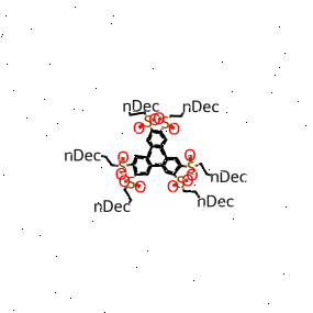 CCCCCCCCCCCCS(=O)(=O)c1cc2c3cc(S(=O)(=O)CCCCCCCCCCCC)c(S(=O)(=O)CCCCCCCCCCCC)cc3c3cc(S(=O)(=O)CCCCCCCCCCCC)c(S(=O)(=O)CCCCCCCCCCCC)cc3c2cc1S(=O)(=O)CCCCCCCCCCCC